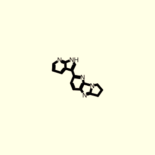 c1cnc2[nH]cc(-c3ccc4nc5n(c4n3)CCC5)c2c1